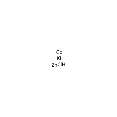 Cl.[Cd].[KH].[Zn]